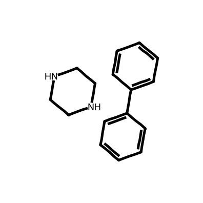 C1CNCCN1.c1ccc(-c2ccccc2)cc1